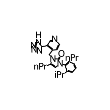 CCCc1cccc(C(C)C)c1-n1cc(CCC)n(Cc2ccncc2-c2nnn[nH]2)c1=O